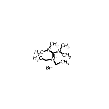 CC[N+](CC)=C(N(C)C)N(C)C.[Br-]